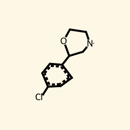 Clc1ccc(C2C[N]CCO2)cc1